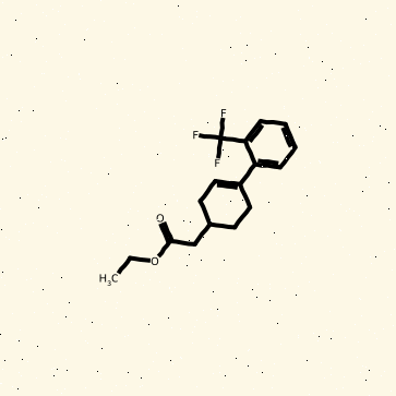 CCOC(=O)CC1CC=C(c2ccccc2C(F)(F)F)CC1